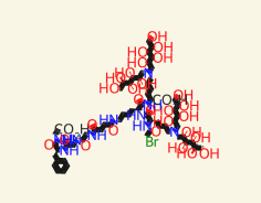 O=C(O)CNC(=O)[C@H](Cc1ccccc1)NC(=O)CNC(=O)CNC(=O)CCC(=O)NCCCC[C@H](NC(=O)[C@H](CCCCN(C[C@H](O)[C@@H](O)[C@H](O)[C@H](O)CO)C[C@H](O)[C@@H](O)[C@H](O)[C@H](O)CO)NC(=O)CBr)C(=O)N[C@@H](CCCCN(C[C@H](O)[C@@H](O)[C@H](O)[C@H](O)CO)C[C@H](O)[C@@H](O)[C@H](O)[C@H](O)CO)C(=O)O